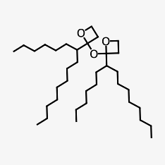 CCCCCCCCC(CCCCCC)C1(OC2(C(CCCCCC)CCCCCCCC)CCO2)CCO1